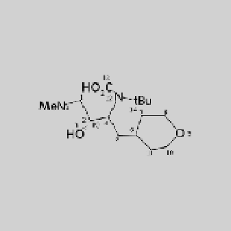 CNC[C@@H](O)C(CC1CCOCC1)N(C(=O)O)C(C)(C)C